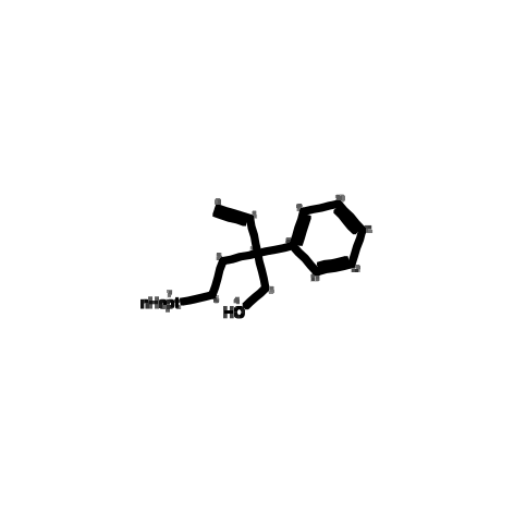 C=CC(CO)(CCCCCCCCC)c1ccccc1